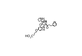 CCN(C(=O)C(NC(=O)CCc1cccnc1)Nc1ccc(OCCCC(=O)O)cc1)C1CCCN1